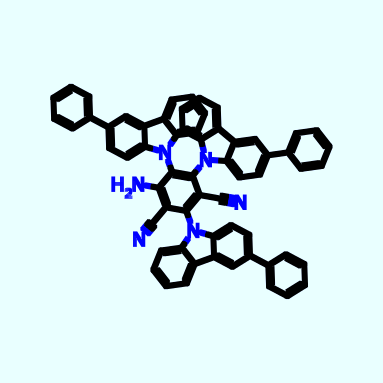 N#Cc1c(N)c(-n2c3ccccc3c3cc(-c4ccccc4)ccc32)c(-n2c3ccccc3c3cc(-c4ccccc4)ccc32)c(C#N)c1-n1c2ccccc2c2cc(-c3ccccc3)ccc21